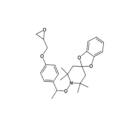 CC(ON1C(C)(C)CC2(CC1(C)C)Oc1ccccc1O2)c1ccc(OCC2CO2)cc1